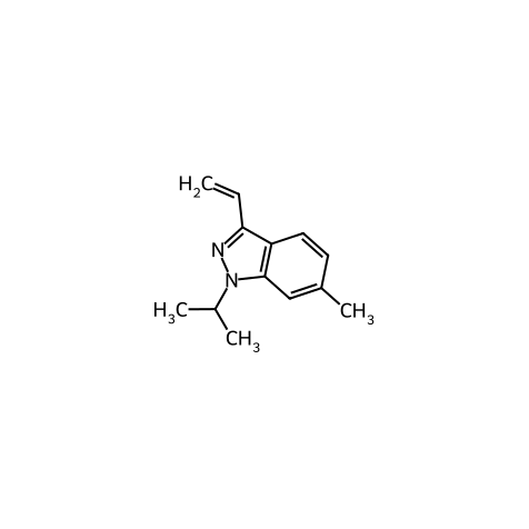 C=Cc1nn(C(C)C)c2cc(C)ccc12